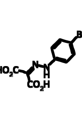 O=C(O)C(=NNc1ccc(Br)cc1)C(=O)O